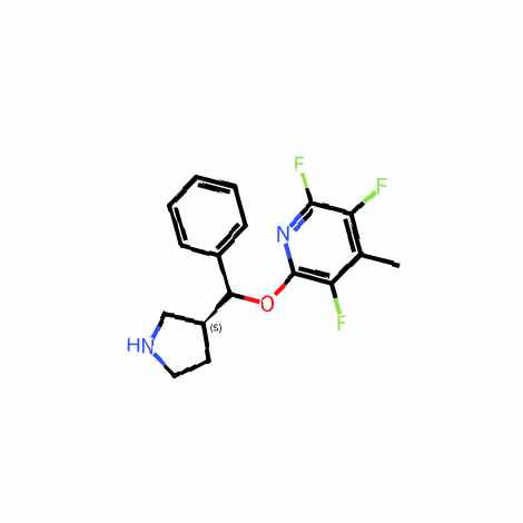 Cc1c(F)c(F)nc(OC(c2ccccc2)[C@H]2CCNC2)c1F